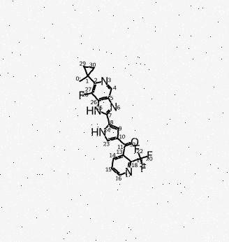 CC1(c2ncc3nc(-c4cc(C(=O)c5cccnc5C(F)(F)F)c[nH]4)[nH]c3c2F)CC1